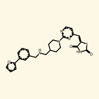 O=C1NC(=O)/C(=C\c2ccnc(N3CCC(CNCc4cccc(-c5ccco5)c4)CC3)n2)S1